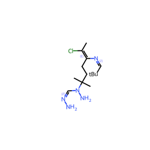 C/C(Cl)=C(CCC(C)(C)N(N)/C=N\N)\N=C/C(C)(C)C